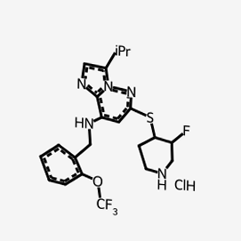 CC(C)c1cnc2c(NCc3ccccc3OC(F)(F)F)cc(SC3CCNCC3F)nn12.Cl